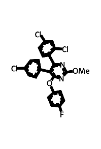 COc1nc(Oc2ccc(F)cc2)c(-c2ccc(Cl)cc2)c(-c2ccc(Cl)cc2Cl)n1